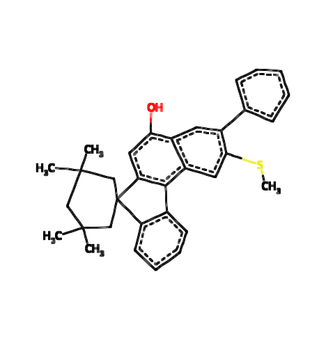 CSc1cc2c3c(cc(O)c2cc1-c1ccccc1)C1(CC(C)(C)CC(C)(C)C1)c1ccccc1-3